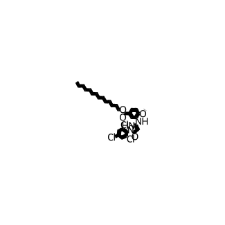 CCCCCCCCCCCCCCOC(=O)c1ccc(OC)c(Nc2cc(=O)n(-c3c(Cl)cc(Cl)cc3Cl)[nH]2)c1